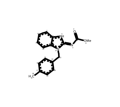 COC(=O)/N=c1\[nH]c2ccccc2n1Cc1ccc(C)cc1